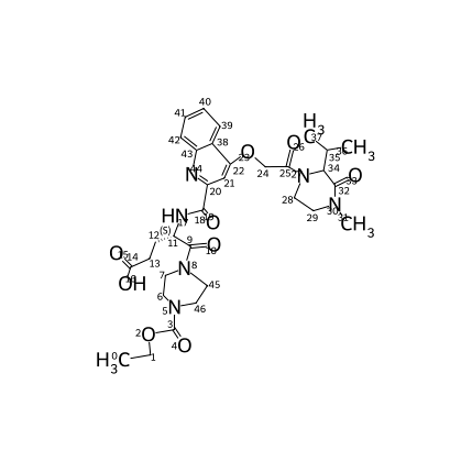 CCOC(=O)N1CCN(C(=O)[C@H](CCC(=O)O)NC(=O)c2cc(OCC(=O)N3CCN(C)C(=O)C3C(C)C)c3ccccc3n2)CC1